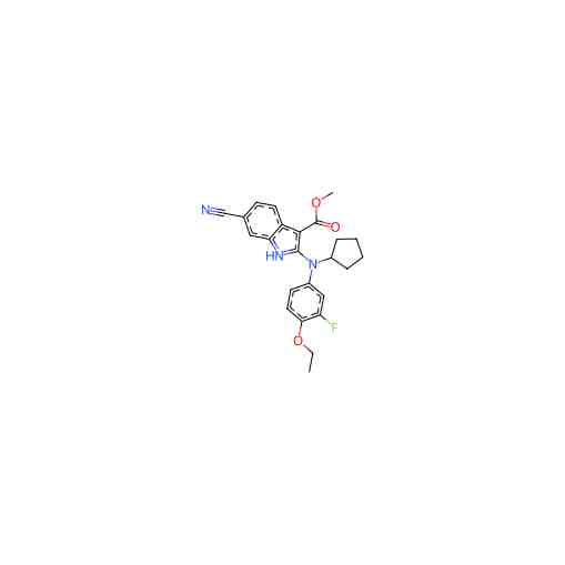 CCOc1ccc(N(c2[nH]c3cc(C#N)ccc3c2C(=O)OC)C2CCCC2)cc1F